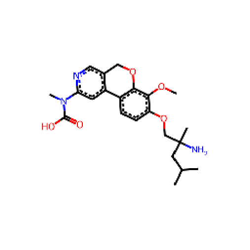 COc1c(OCC(C)(N)CC(C)C)ccc2c1OCc1cnc(N(C)C(=O)O)cc1-2